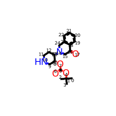 CC(C)(C)OC(=O)O[C@@H]1CNCC[C@H]1N1CC(=O)c2ccccc2C1